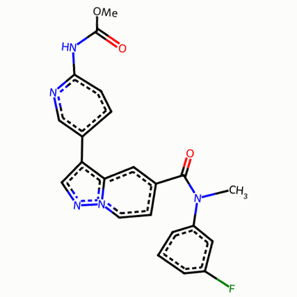 COC(=O)Nc1ccc(-c2cnn3ccc(C(=O)N(C)c4cccc(F)c4)cc23)cn1